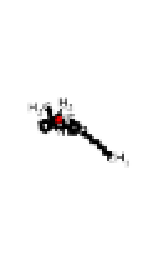 CCCCCCCCCOc1ccc(-c2ccc(C3(C(CCC)CCC)CCCCC3)cn2)c(F)c1